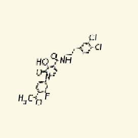 CC(=O)c1ccc(-n2ccc(C(=O)NCCCc3ccc(Cl)c(Cl)c3)c(O)c2=O)cc1F